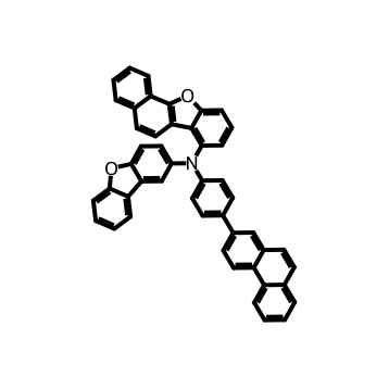 c1ccc2c(c1)ccc1cc(-c3ccc(N(c4ccc5oc6ccccc6c5c4)c4cccc5oc6c7ccccc7ccc6c45)cc3)ccc12